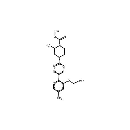 COCOc1cc(N)cnc1-c1ccc(N2CCN(C(=O)OC(C)(C)C)C(C)C2)nn1